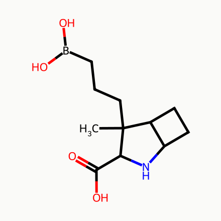 CC1(CCCB(O)O)C(C(=O)O)NC2CCC21